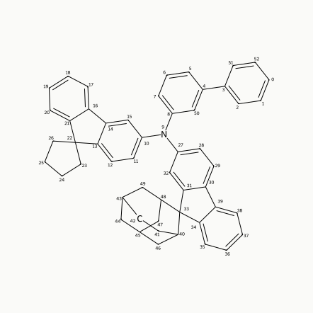 c1ccc(-c2cccc(N(c3ccc4c(c3)-c3ccccc3C43CCCC3)c3ccc4c(c3)C3(c5ccccc5-4)C4CCC5CC(C4)CC3C5)c2)cc1